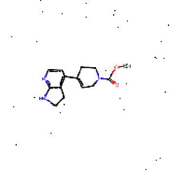 CC(C)(C)OC(=O)N1CC=C(c2ccnc3c2CCN3)CC1